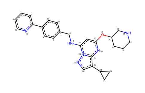 c1ccc(-c2ccc(CNc3cc(OC4CCCNC4)nc4c(C5CC5)cnn34)cc2)nc1